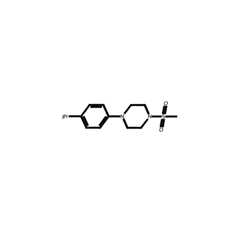 CC(C)c1ccc(N2CCN(S(C)(=O)=O)CC2)cc1